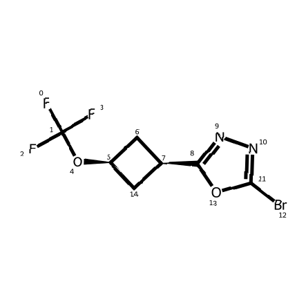 FC(F)(F)O[C@H]1C[C@@H](c2nnc(Br)o2)C1